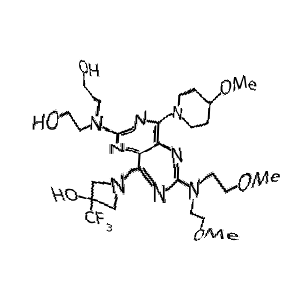 COCCN(CCOC)c1nc(N2CC(O)(C(F)(F)F)C2)c2nc(N(CCO)CCO)nc(N3CCC(OC)CC3)c2n1